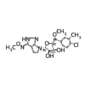 CON=c1[nH]cnc2c1ccn2[C@@H]1O[C@@H]([C@H](OC)c2ccc(Cl)c(C)c2)[C@@H](O)[C@H]1O